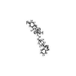 Cc1c(S(=O)(=O)NCCCN2CCN(c3nsc4ccccc34)CC2)sc2ccc(F)cc12